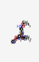 CC(C)OC(=O)Nc1ccc(-c2ncc(-c3ccc(NC(=O)OCc4ccccn4)cc3S(=O)(=O)NC(C)(C)C)s2)cc1